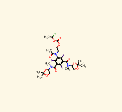 CC(=O)N(CCOC(=O)OC(C)Cl)c1c(I)c(C(=O)N(C)C2COC(C)(C)O2)c(I)c(C(=O)N(C)C2COC(C)(C)O2)c1I